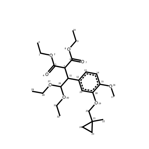 CCOC(=O)C(C(=O)OCC)C(c1ccc(OC)c(OCC2(C)CC2)c1)C(OCC)OCC